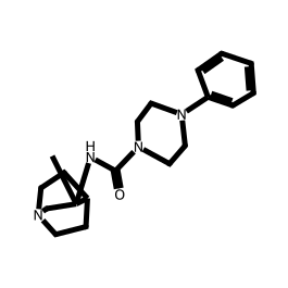 CC1(NC(=O)N2CCN(c3ccccc3)CC2)CN2CCC1CC2